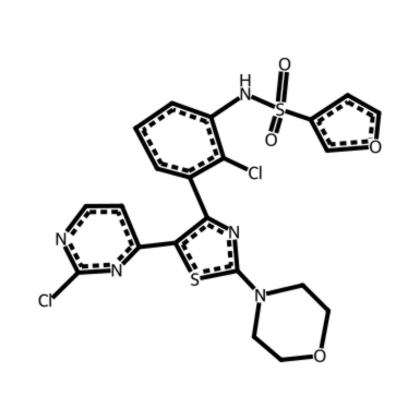 O=S(=O)(Nc1cccc(-c2nc(N3CCOCC3)sc2-c2ccnc(Cl)n2)c1Cl)c1ccoc1